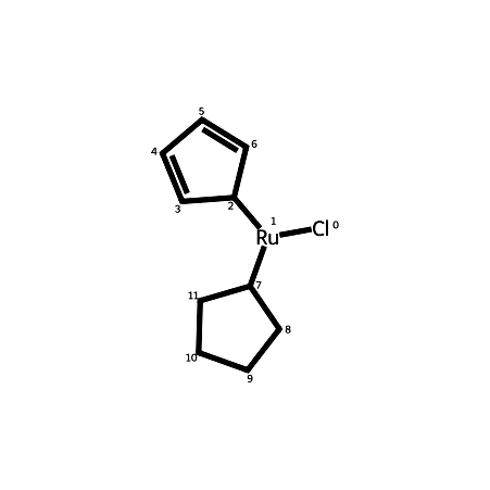 [Cl][Ru]([CH]1C=CC=C1)[CH]1CCCC1